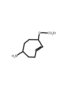 CCOC(=O)OC1/C=C/CCC(N)CC1